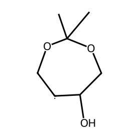 CC1(C)OC[CH]C(O)CO1